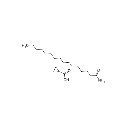 CCCCCCCCCCCCCCCC(N)=O.O=C(O)C1CC1